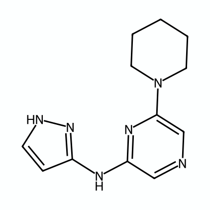 c1cc(Nc2cncc(N3CCCCC3)n2)n[nH]1